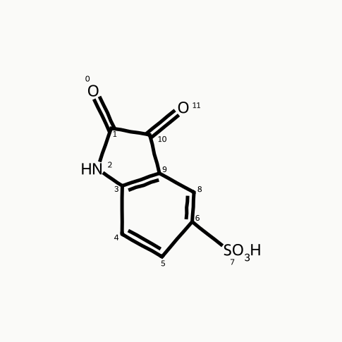 O=C1Nc2ccc(S(=O)(=O)O)cc2C1=O